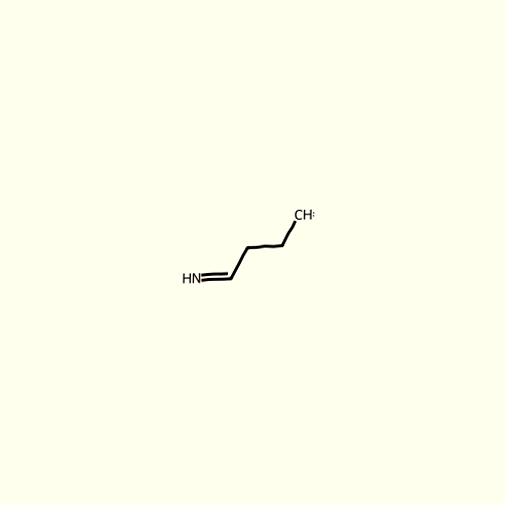 [CH]CCC=N